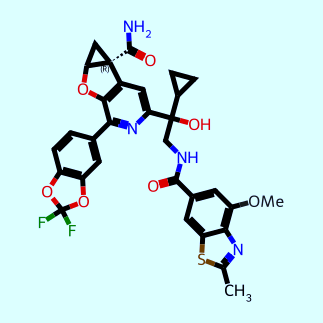 COc1cc(C(=O)NCC(O)(c2cc3c(c(-c4ccc5c(c4)OC(F)(F)O5)n2)OC2C[C@@]32C(N)=O)C2CC2)cc2sc(C)nc12